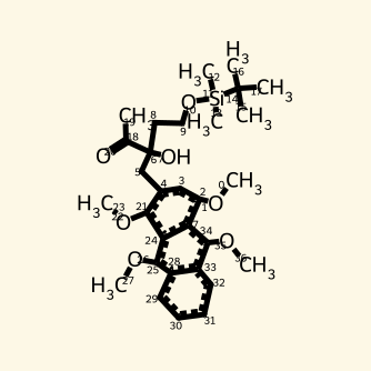 COc1cc(CC(O)(CCO[Si](C)(C)C(C)(C)C)C(C)=O)c(OC)c2c(OC)c3ccccc3c(OC)c12